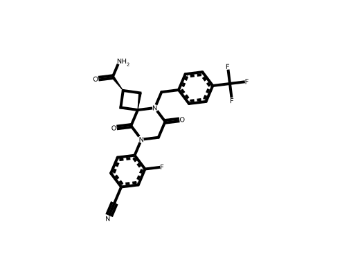 N#Cc1ccc(N2CC(=O)N(Cc3ccc(C(F)(F)F)cc3)[C@]3(C[C@H](C(N)=O)C3)C2=O)c(F)c1